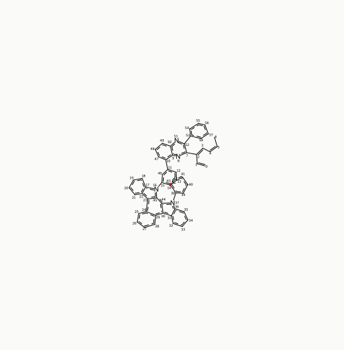 C=C/C(=C\C=C/C)c1nc2c(-c3cccc(-n4c5ccccc5c5c6ccccc6c6c7ccccc7n(-c7ccccc7)c6c54)c3)cccc2nc1-c1ccccc1